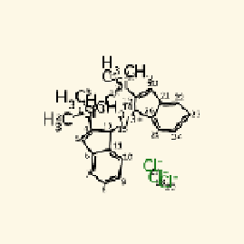 C[Si](C)(C)C1=Cc2ccccc2[CH]1[V+3][CH]1C([Si](C)(C)C)=Cc2ccccc21.[Cl-].[Cl-].[Cl-]